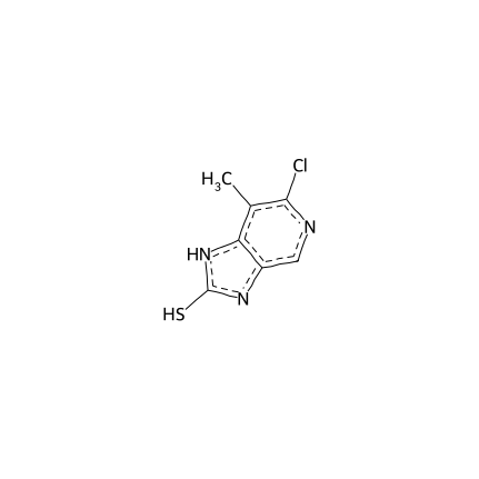 Cc1c(Cl)ncc2nc(S)[nH]c12